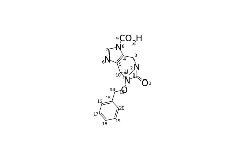 O=C1N2Cc3c(ncn3C(=O)O)C(C2)N1OCc1ccccc1